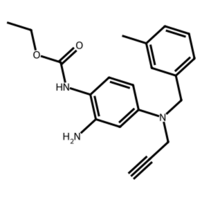 C#CCN(Cc1cccc(C)c1)c1ccc(NC(=O)OCC)c(N)c1